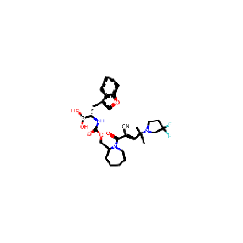 CC(C)(C=C(C#N)C(=O)N1CCCCCC1COC(=O)N[C@@H](Cc1coc2ccccc12)B(O)O)N1CCC(F)(F)C1